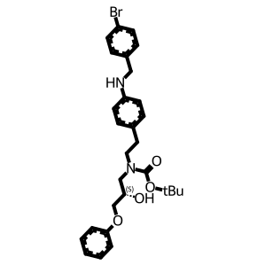 CC(C)(C)OC(=O)N(CCc1ccc(NCc2ccc(Br)cc2)cc1)C[C@H](O)COc1ccccc1